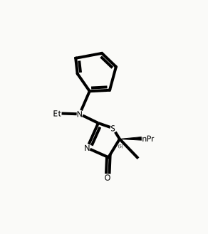 CCC[C@]1(C)SC(N(CC)c2ccccc2)=NC1=O